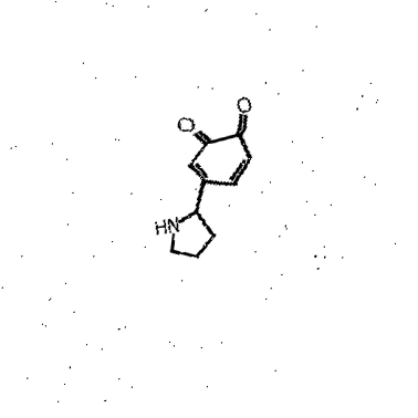 O=C1C=CC(C2CCCN2)=CC1=O